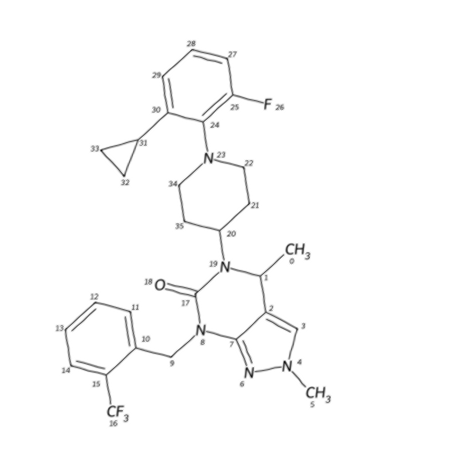 CC1c2cn(C)nc2N(Cc2ccccc2C(F)(F)F)C(=O)N1C1CCN(c2c(F)cccc2C2CC2)CC1